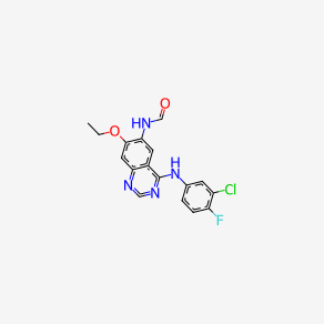 CCOc1cc2ncnc(Nc3ccc(F)c(Cl)c3)c2cc1NC=O